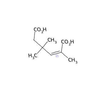 C/C(=C/C(C)(C)CC(=O)O)C(=O)O